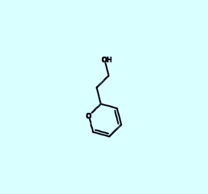 OCCC1C=CC=CO1